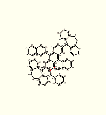 C1=CC2=C(CC1)CCc1ccccc1N2c1ccc2c(-c3ccc4ccccc4c3)c3cc(N4c5ccccc5CCc5ccccc54)ccc3c(-c3ccccc3-c3cccc4ccccc34)c2c1